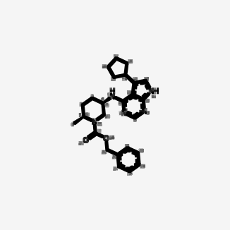 C[C@H]1CC[C@@H](Nc2ncnc3[nH]cc(C4CCCC4)c23)CN1C(=O)OCc1ccccc1